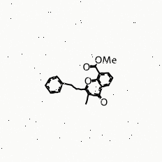 COC(=O)c1cccc2c(=O)c(C)c(CCc3ccccc3)oc12